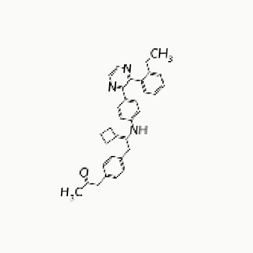 CCc1ccccc1-c1nccnc1-c1ccc(NC(Cc2ccc(CC(C)=O)cc2)=C2CCC2)cc1